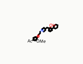 COc1cc(C(C)=O)ccc1OCCCN1CCC(Cc2cccc(C3CCCCC3)c2O)CC1